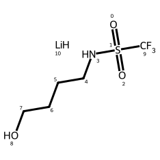 O=S(=O)(NCCCCO)C(F)(F)F.[LiH]